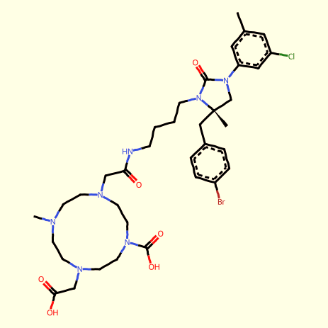 Cc1cc(Cl)cc(N2C[C@](C)(Cc3ccc(Br)cc3)N(CCCCNC(=O)CN3CCN(C)CCN(CC(=O)O)CCN(C(=O)O)CC3)C2=O)c1